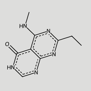 CCc1nc(NC)c2c(=O)[nH]cnc2n1